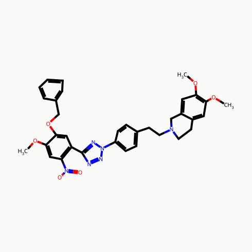 COc1cc2c(cc1OC)CN(CCc1ccc(-n3nnc(-c4cc(OCc5ccccc5)c(OC)cc4[N+](=O)[O-])n3)cc1)CC2